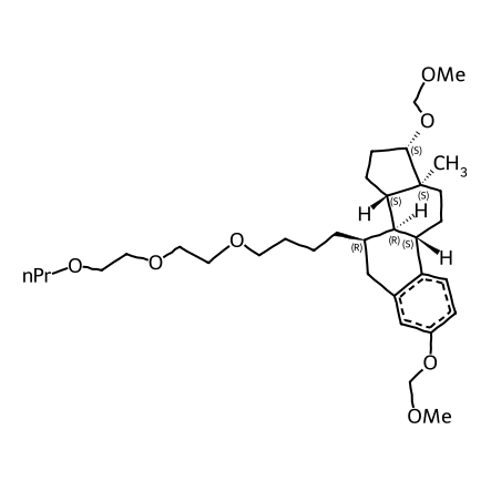 CCCOCCOCCOCCCC[C@@H]1Cc2cc(OCOC)ccc2[C@H]2CC[C@]3(C)[C@@H](OCOC)CC[C@H]3[C@H]12